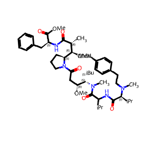 CC[C@H](C)[C@@H]([C@@H](CC(=O)N1CCC[C@H]1[C@H](OC)[C@@H](C)C(=O)N[C@@H](Cc1ccccc1)C(=O)OC)OC)N(C)C(=O)C(NC(=O)[C@H](C(C)C)N(C)CCc1ccc(NC)cc1)C(C)C